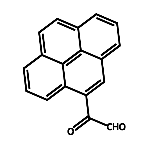 O=CC(=O)c1cc2cccc3ccc4cccc1c4c32